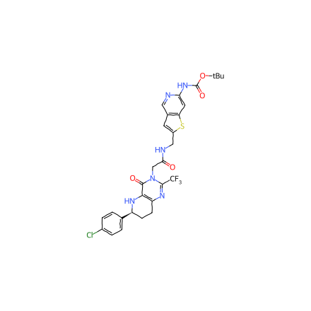 CC(C)(C)OC(=O)Nc1cc2sc(CNC(=O)Cn3c(C(F)(F)F)nc4c(c3=O)N[C@H](c3ccc(Cl)cc3)CC4)cc2cn1